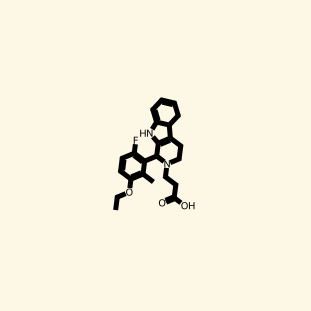 CCOc1ccc(F)c(C2C3=C(CCN2CCC(=O)O)C2CC=CC=C2N3)c1C